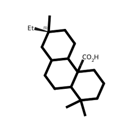 CC[C@@]1(C)CCC2C(CCC3C(C)(C)CCCC23C(=O)O)C1